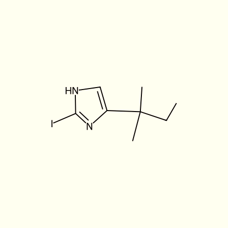 CCC(C)(C)c1c[nH]c(I)n1